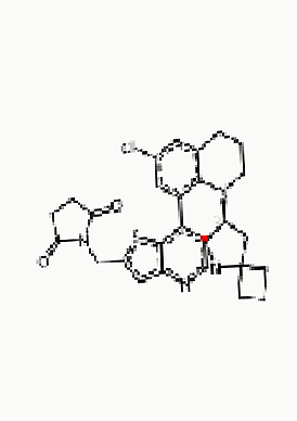 O=C1CCC(=O)N1Cc1cc2nccc(-c3cc(Cl)cc4c3N([C@@H]3CNC5(CCC5)C3)CCC4)c2s1